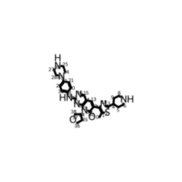 Cc1sc(C2CCNCC2)nc1-c1cc2cnc(Nc3ccc(N4CCNCC4)cc3)nc2n(C2CCOC2)c1=O